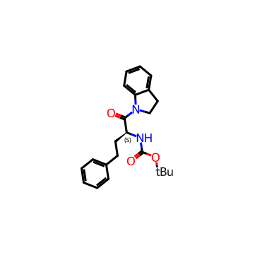 CC(C)(C)OC(=O)N[C@@H](CCc1ccccc1)C(=O)N1CCc2ccccc21